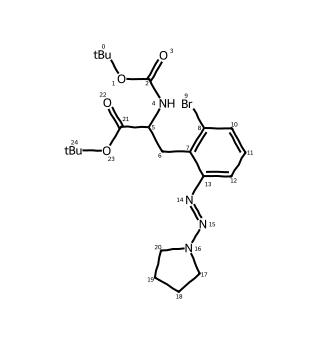 CC(C)(C)OC(=O)NC(Cc1c(Br)cccc1N=NN1CCCC1)C(=O)OC(C)(C)C